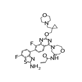 C=CC(=O)N[C@@H]1COCCN(c2nc(OCC3(CN4CCOCC4)CC3)nc3c(F)c(-c4ccc(F)c5sc(N)nc45)ccc23)C1